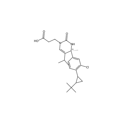 CC(C)C1=CN(CCC(=O)O)C(=O)N[C@@]1(C)c1ccc(C2CC2C(C)(C)C)c(Cl)c1